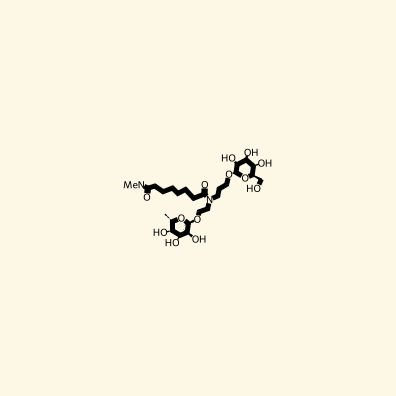 CNC(=O)CCCCCCC(=O)N(CCCO[C@H]1O[C@H](CO)[C@@H](O)[C@H](O)[C@@H]1O)CCO[C@@H]1O[C@@H](C)[C@@H](O)[C@@H](O)[C@@H]1O